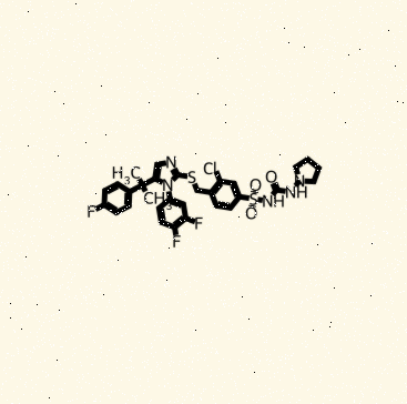 CC(C)(c1ccc(F)cc1)c1cnc(SCc2ccc(S(=O)(=O)NC(=O)NN3CCCC3)cc2Cl)n1-c1ccc(F)c(F)c1